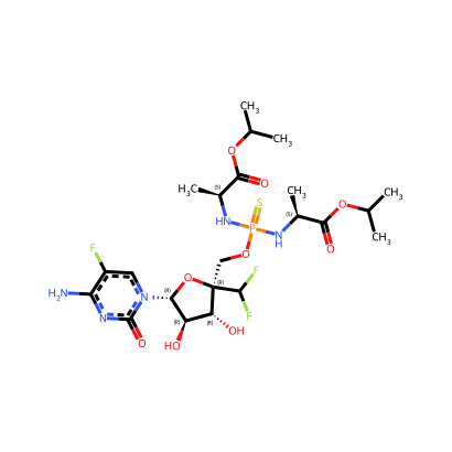 CC(C)OC(=O)[C@H](C)NP(=S)(N[C@@H](C)C(=O)OC(C)C)OC[C@@]1(C(F)F)O[C@@H](n2cc(F)c(N)nc2=O)[C@H](O)[C@H]1O